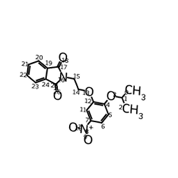 CC(C)Oc1ccc([N+](=O)[O-])cc1OCCN1C(=O)c2ccccc2C1=O